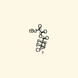 CC(C)(C)C(=O)C(=O)OC(=O)C(F)(F)C(F)(F)C(F)(F)F